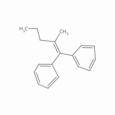 CCCC(C)=C(c1ccccc1)c1ccccc1